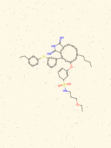 CCCCc1cccc2c(c(-c3cccc(Sc4cccc(CC)c4)c3)cc(OC3=CC(S(=O)(=O)NCCCOCC)CC=C3)c1)C(=N)NC2=N